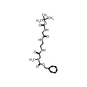 CN(CC(=O)NCCNC(=O)CNC(=O)OC(C)(C)C)C(=O)OCc1ccccc1